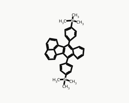 C[Si](C)(C)c1ccc(-c2c3c(c(-c4ccc([Si](C)(C)C)cc4)c4ccccc24)-c2cccc4cccc-3c24)cc1